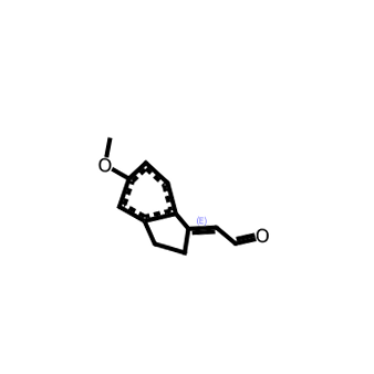 COc1ccc2c(c1)CC/C2=C\C=O